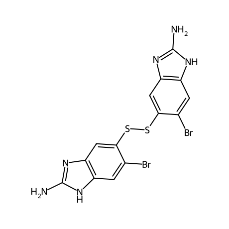 Nc1nc2cc(SSc3cc4nc(N)[nH]c4cc3Br)c(Br)cc2[nH]1